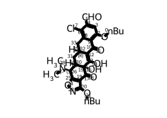 CCCCOc1cc(C=O)c(Cl)c2c1C(=O)C1=C(O)[C@]3(O)C(=O)c4c(OCCCC)noc4[C@@H](N(C)C)[C@@H]3C[C@@H]1C2